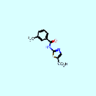 O=C(Nc1ncc(C(=O)O)s1)c1cccc(C(F)(F)F)c1